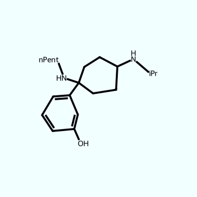 CCCCCNC1(c2cccc(O)c2)CCC(NC(C)C)CC1